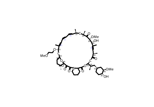 COCCO[C@H]1C[C@@H]2CC[C@@H](C)[C@@](O)(O2)C(=O)C(=O)N2CCCCC2C(=O)O[C@H]([C@H](C)C[C@@H]2CC[C@@H](O)[C@H](OC)C2)CC(=O)[C@H](C)/C=C(\C)[C@@H](O)[C@@H](OC)C(=O)[C@H](C)C[C@H](C)/C=C/C=C/C=C/1C